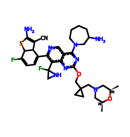 C[C@@H]1CN(CC2(COc3nc(N4CCCCC(N)C4)c4cnc(C5=CC=C(F)C6SC(N)=C(C#N)C56)c(C5(F)CN5)c4n3)CC2)C[C@H](C)O1